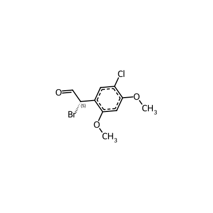 COc1cc(OC)c([C@H](Br)C=O)cc1Cl